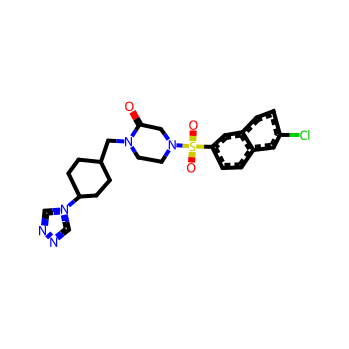 O=C1CN(S(=O)(=O)c2ccc3cc(Cl)ccc3c2)CCN1CC1CCC(n2cnnc2)CC1